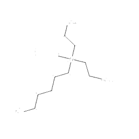 CCCCCCCCCCCC[N+](C)(CCCCCC#N)CCCCCCCCCCCC.[I-]